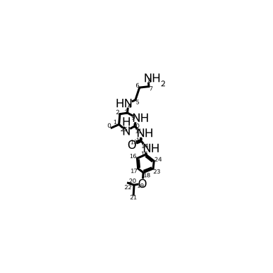 CC1CC(NCCCN)NC(NC(=O)Nc2ccc(OC(C)C)cc2)N1